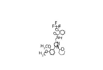 COc1cccc(-c2cc(CNC(=O)c3ccccc3OC(F)(F)F)nn2C2CCCCO2)c1OC